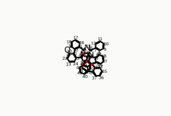 c1ccc(-c2nc(-c3ccccc3)nc(-c3cccc4oc5cccc(-c6ccc7c(c6)C6(c8ccccc8-c8ccccc86)c6ccccc6-7)c5c34)n2)cc1